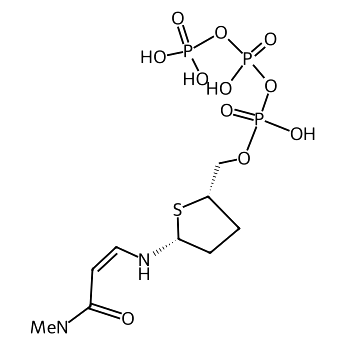 CNC(=O)/C=C\N[C@H]1CC[C@@H](COP(=O)(O)OP(=O)(O)OP(=O)(O)O)S1